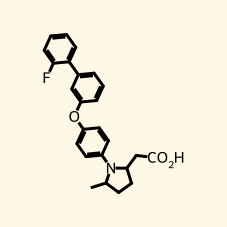 CC1CCC(CC(=O)O)N1c1ccc(Oc2cccc(-c3ccccc3F)c2)cc1